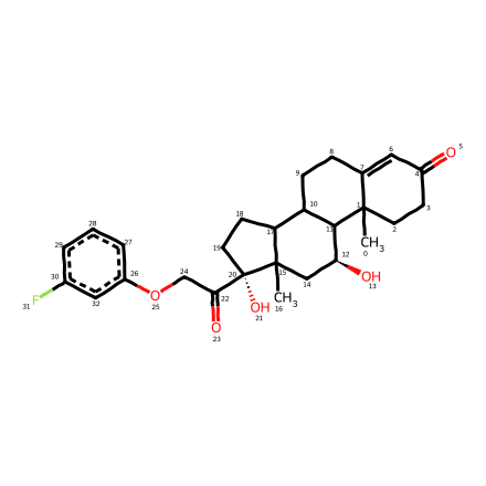 CC12CCC(=O)C=C1CCC1C2[C@@H](O)CC2(C)C1CC[C@]2(O)C(=O)COc1cccc(F)c1